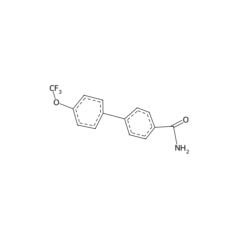 NC(=O)c1ccc(-c2ccc(OC(F)(F)F)cc2)cc1